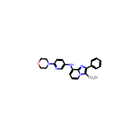 CCOC(=O)c1c(-c2ccccc2)nc2c(Nc3ccc(N4CCOCC4)nc3)cccn12